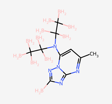 Bc1nc2nc(C)cc(N(C(B)(B)C(B)(B)B)C(B)(B)C(B)(B)B)n2n1